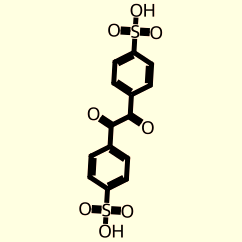 O=C(C(=O)c1ccc(S(=O)(=O)O)cc1)c1ccc(S(=O)(=O)O)cc1